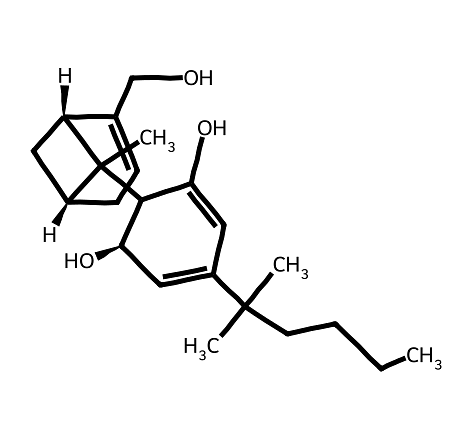 CCCCC(C)(C)C1=C[C@@H](O)C(C2(C)[C@@H]3CC=C(CO)[C@H]2C3)C(O)=C1